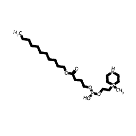 CCCCCCCCCCCOC(=O)CCCOP(O)OCCS1(C)CCNCC1